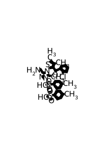 Cc1ccc(S(=O)(=O)O)cc1.Cc1ccc(S(=O)(=O)O)cc1.Cc1sc(-n2c(C)nnc2CN)c(C(=O)c2ccccc2Cl)c1C